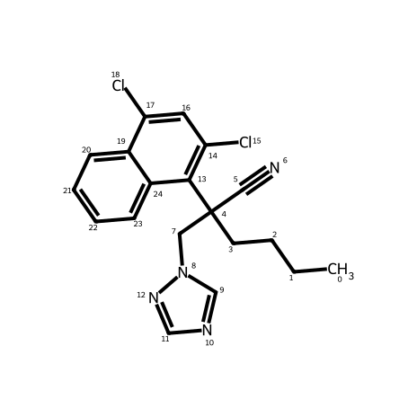 CCCCC(C#N)(Cn1cncn1)c1c(Cl)cc(Cl)c2ccccc12